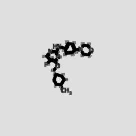 C[C@H]1CC[C@H](COc2nc(Nc3ccc(N4CCOCC4)cc3)ncc2F)CC1